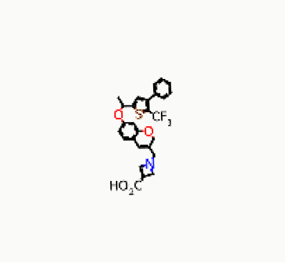 CC(Oc1ccc2c(c1)OCC(CN1CC(C(=O)O)C1)=C2)c1cc(-c2ccccc2)c(C(F)(F)F)s1